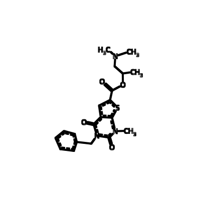 CC(CN(C)C)OC(=O)c1cc2c(=O)n(Cc3ccccc3)c(=O)n(C)c2s1